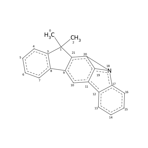 CC1(C)c2ccccc2-c2cc3c4ccccc4n4c3c-4c21